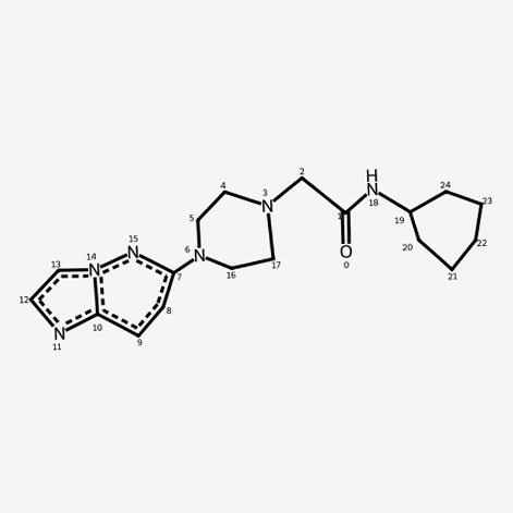 O=C(CN1CCN(c2ccc3nccn3n2)CC1)NC1CCCCC1